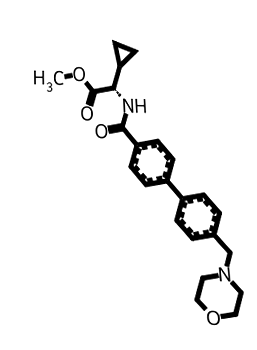 COC(=O)[C@@H](NC(=O)c1ccc(-c2ccc(CN3CCOCC3)cc2)cc1)C1CC1